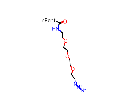 CCCCCC(=O)NCCOCCOCCOCCN=[N+]=[N-]